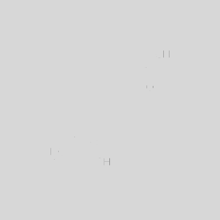 C=C(CC/C=C\CCC(C)=O)OC